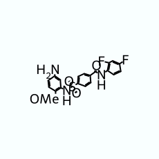 COc1ccc(N)cc1NS(=O)(=O)c1ccc(C(=O)Nc2ccc(F)cc2F)cc1